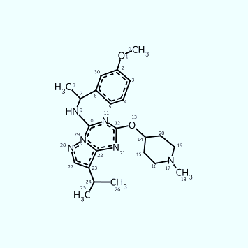 COc1cccc(C(C)Nc2nc(OC3CCN(C)CC3)nc3c(C(C)C)cnn23)c1